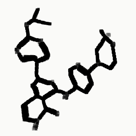 CC(C)Oc1ncc(-c2cc3cc[nH]c(=O)c3c(Nc3ccc(N4CCO[C@H](C)C4)nc3)n2)cn1